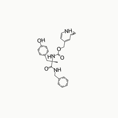 C=C/C=C(\C=C/N)COC(=O)N[C@@](C)(Cc1ccc(O)cc1)C(=O)NCc1ccccc1